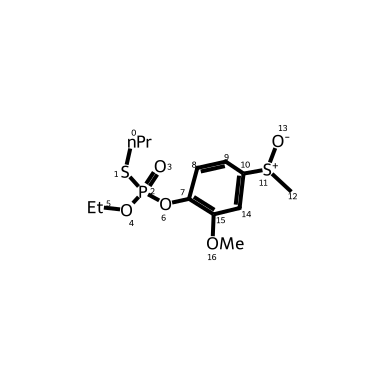 CCCSP(=O)(OCC)Oc1ccc([S+](C)[O-])cc1OC